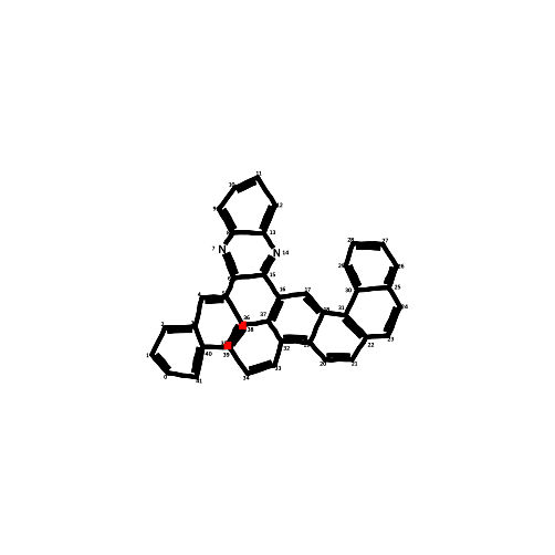 c1ccc2cc(-c3nc4ccccc4nc3-c3cc4c(ccc5ccc6ccccc6c54)c4ccccc34)ccc2c1